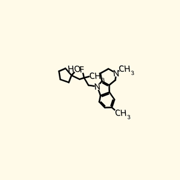 Cc1ccc2c(c1)c1c(n2CC(C)(F)CC2(O)CCCC2)CCN(C)C1